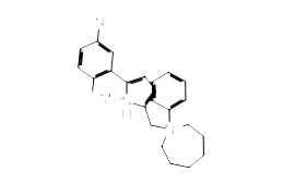 COc1ccc([N+](=O)[O-])cc1-c1ccc(C[N+]2(c3ccccc3)CCCCCC2)[nH]1